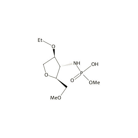 CCO[C@@H]1CO[C@H](COC)[C@H]1NP(=O)(O)OC